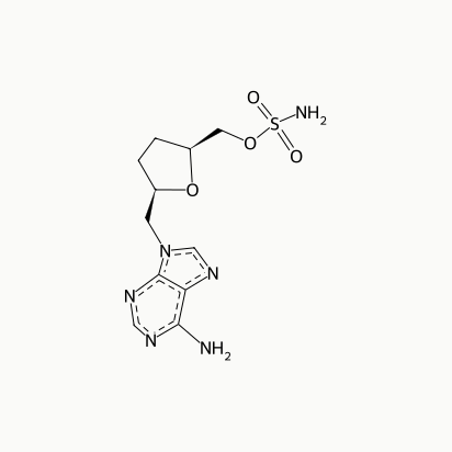 Nc1ncnc2c1ncn2C[C@H]1CC[C@@H](COS(N)(=O)=O)O1